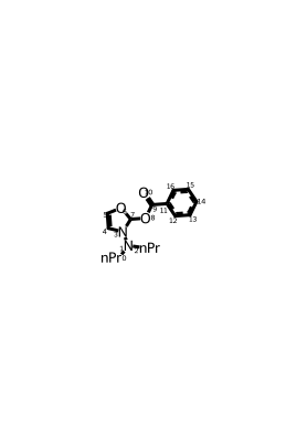 CCCN(CCC)N1C=COC1OC(=O)c1ccccc1